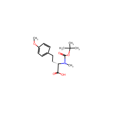 COc1ccc(CC[C@@H](C(=O)O)N(C)C(=O)OC(C)(C)C)cc1